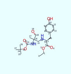 CCOC(=O)[C@H](Cc1ccc(O)cc1)NCC(C)(C=O)NC(=O)OC(C)(C)C